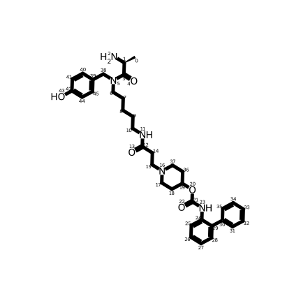 C[C@H](N)C(=O)N(CCCCCNC(=O)CCN1CCC(OC(=O)Nc2ccccc2-c2ccccc2)CC1)Cc1ccc(O)cc1